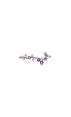 CC(C)(C)OC(=O)NCC1CCC(C(=O)NCCOc2ccc(-c3cnccc3C(=O)NCC(=O)N3CC(F)(F)C[C@H]3C#N)cc2)CC1